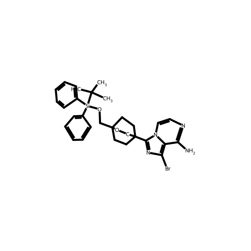 CC(C)(C)[Si](OCC12CCC(c3nc(Br)c4c(N)nccn34)(CC1)CO2)(c1ccccc1)c1ccccc1